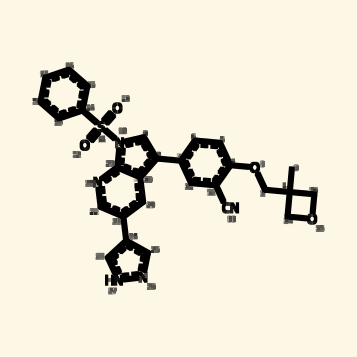 CC1(COc2ccc(-c3cn(S(=O)(=O)c4ccccc4)c4ncc(-c5cn[nH]c5)cc34)cc2C#N)COC1